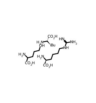 CC[C@H](C)[C@H](N)C(=O)O.N=C(N)NCCCC[C@H](N)C(=O)O.NC(CCCO)C(=O)O